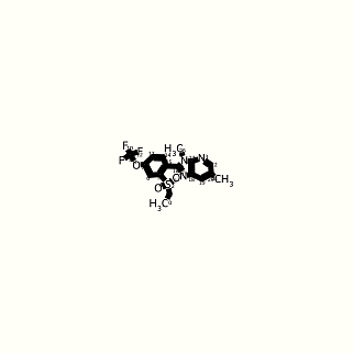 CCS(=O)(=O)c1cc(OC(F)(F)F)ccc1-c1nc2cc(C)cnc2n1C